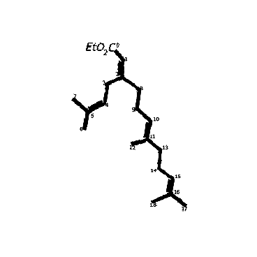 CCOC(=O)/C=C(\CC=C(C)C)CC/C=C(\C)CCC=C(C)C